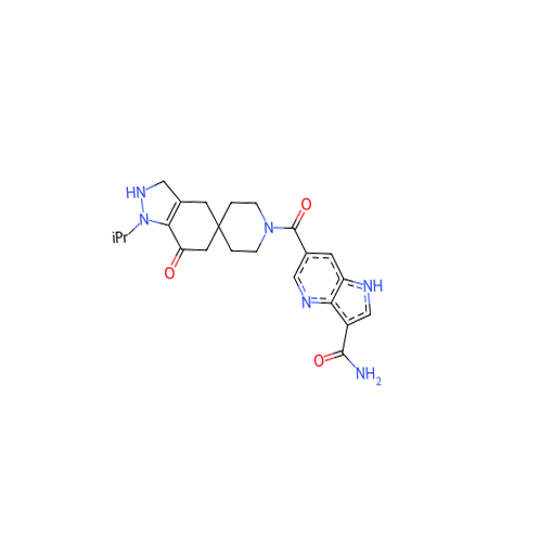 CC(C)N1NCC2=C1C(=O)CC1(CCN(C(=O)c3cnc4c(C(N)=O)c[nH]c4c3)CC1)C2